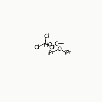 CC(=O)O.CC(C)OC(C)C.ClC(Cl)Cl